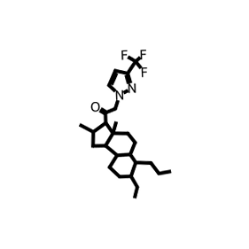 CCCC1C(CC)CCC2C1CCC1(C)C2CC(C)C1C(=O)Cn1ccc(C(F)(F)F)n1